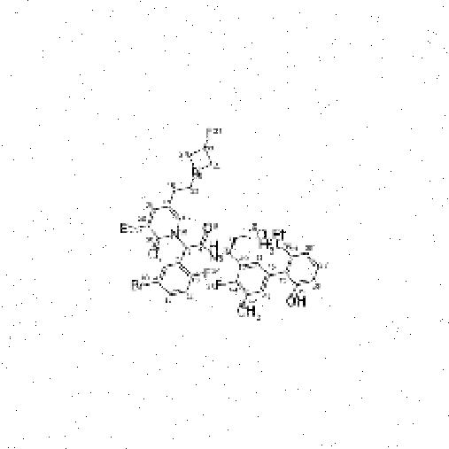 CCOC(=O)C[C@H](NC(=O)C(c1cc(Br)ccc1F)n1cc(CCN2CC(F)C2)cc(CC)c1=O)c1cc(-c2c(C)cccc2O)cc(C)c1F